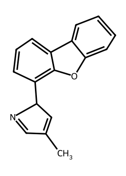 CC1=CC(c2cccc3c2oc2ccccc23)N=C1